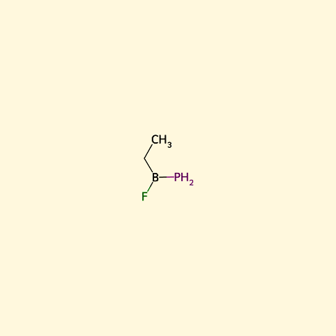 CCB(F)P